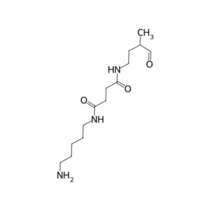 CC(C=O)CCNC(=O)CCC(=O)NCCCCCN